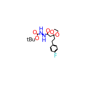 CC(C)(C)OC(=O)NNC(=O)CC1(CCc2ccc(F)cc2)OCCO1